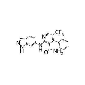 NC(=O)c1c(Nc2ccc3cn[nH]c3c2)ncc(C(F)(F)F)c1-c1ccccc1